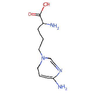 NC1=CCN(CCCC(N)C(=O)O)C=N1